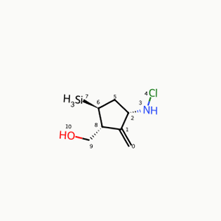 C=C1[C@@H](NCl)C[C@H]([SiH3])[C@H]1CO